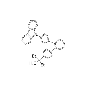 CCC(C)(CC)c1ccc(-c2ccccc2-c2ccc(-n3c4ccccc4c4ccccc43)cc2)cc1